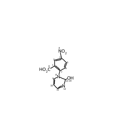 O=C(O)c1cc([N+](=O)[O-])ccc1N1C=CC=NC1O